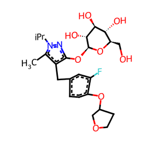 Cc1c(Cc2ccc(OC3CCOC3)c(F)c2)c(O[C@@H]2O[C@H](CO)[C@@H](O)[C@H](O)[C@H]2O)nn1C(C)C